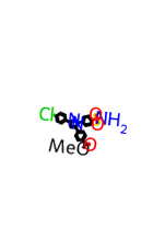 COC(=O)c1ccc(-c2cc(-c3ccc(Cl)cc3)nn2-c2ccc(S(N)(=O)=O)cc2)cc1